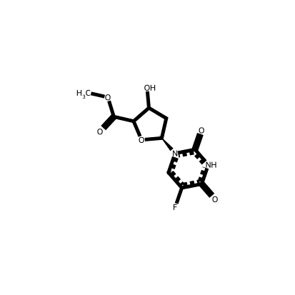 COC(=O)C1O[C@H](n2cc(F)c(=O)[nH]c2=O)CC1O